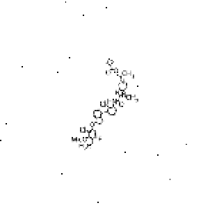 COc1c(Cl)c(OC2CCc3c(-c4cccc(NC(=O)c5nc6c(n5C)CCN(C(C)COC(=O)C5CCC5)C6)c4Cl)cccc32)cc(F)c1CN